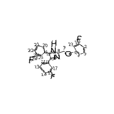 Fc1cccc(OCC2=NC(c3cccc(F)c3)C(c3cccc(F)c3)N2)c1